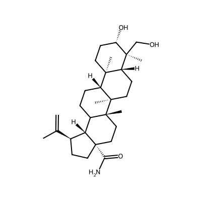 C=C(C)[C@@H]1CC[C@]2(C(N)=O)CC[C@]3(C)C(CC[C@@H]4[C@@]5(C)CC[C@H](O)[C@@](C)(CO)[C@@H]5CC[C@]43C)[C@@H]12